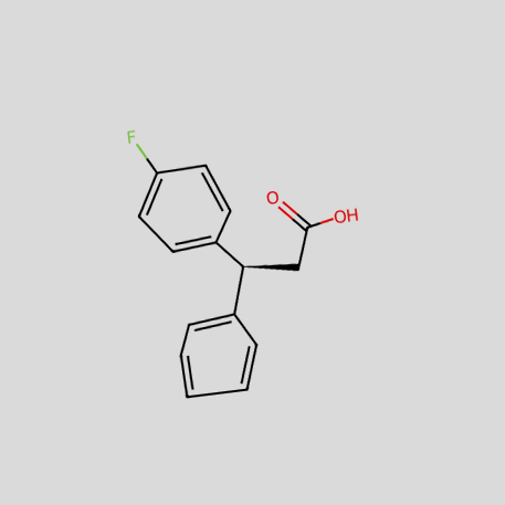 O=C(O)C[C@@H](c1ccccc1)c1ccc(F)cc1